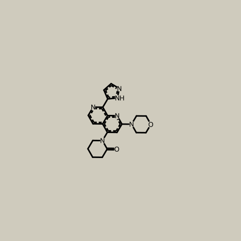 O=C1CCCCN1c1cc(N2CCOCC2)nc2c(-c3ccn[nH]3)nccc12